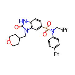 CCc1ccc(N(CC(C)C)S(=O)(=O)c2ccc3[nH]c(=O)n(CC4CCOCC4)c3c2)cc1